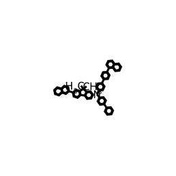 CC1(C)c2cc(-c3ccc4ccccc4c3)ccc2-c2ccc(N(c3ccc(-c4ccccc4)cc3)c3ccc(-c4ccc(-c5cccc6ccccc56)cc4)cc3)cc21